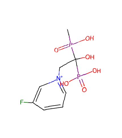 CP(=O)(O)C(O)(C[n+]1cccc(F)c1)P(=O)(O)O